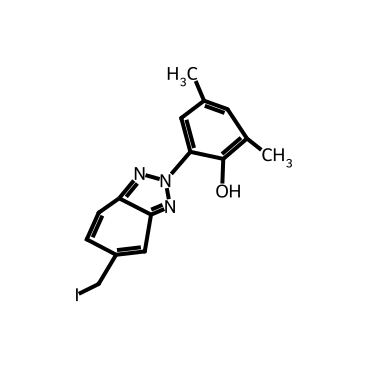 Cc1cc(C)c(O)c(-n2nc3ccc(CI)cc3n2)c1